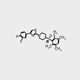 Cc1cc(C)c(C)c(S(=O)(=O)C2CCN(c3nc(-c4ccc(F)c(F)c4)cs3)CC2)c1C